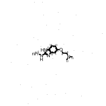 CCCNc1nc2cc(OCCN(C)C)ccc2[nH]1